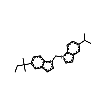 CCC(C)(C)c1ccc2c(ccn2Cn2ccc3cc(C(C)C)ccc32)c1